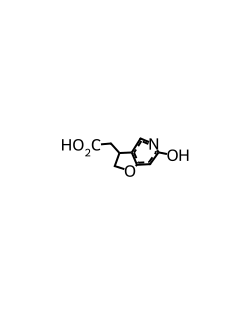 O=C(O)CC1COc2cc(O)ncc21